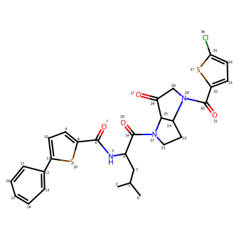 CC(C)CC(NC(=O)c1ccc(-c2ccccc2)s1)C(=O)N1CCC2C1C(=O)CN2C(=O)c1ccc(Cl)s1